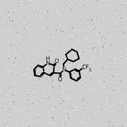 O=C(c1cc2ccccc2[nH]c1=O)N(CC1CCCCC1)c1cccc(C(F)(F)F)c1